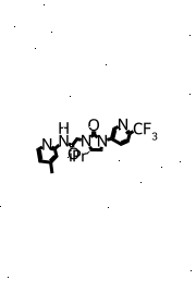 Cc1ccnc(NC(=O)CN2C(=O)N(c3ccc(C(F)(F)F)nc3)C[C@@H]2C(C)C)c1